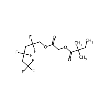 CCC(C)(C)C(=O)OCC(=O)OCC(F)(F)CC(F)(F)CC(F)(F)F